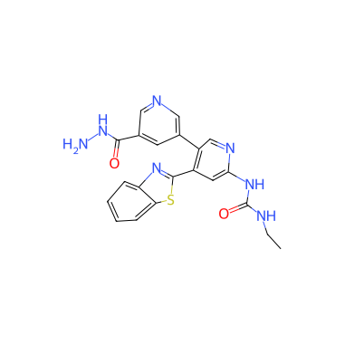 CCNC(=O)Nc1cc(-c2nc3ccccc3s2)c(-c2cncc(C(=O)NN)c2)cn1